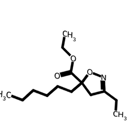 CCCCCCC1(C(=O)OCC)CC(CC)=NO1